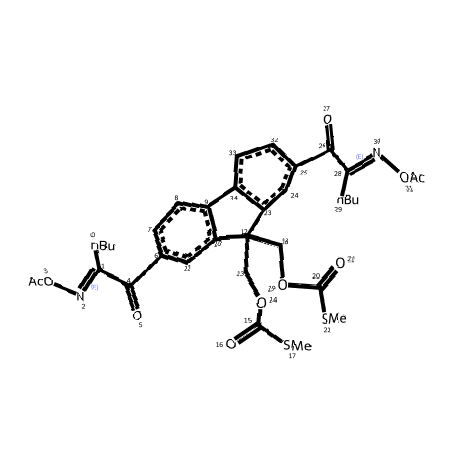 CCCC/C(=N\OC(C)=O)C(=O)c1ccc2c(c1)C(COC(=O)SC)(COC(=O)SC)c1cc(C(=O)/C(CCCC)=N/OC(C)=O)ccc1-2